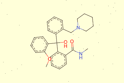 CNC(=O)c1ccccc1C(O)(c1ccccc1CN1CCCCC1)c1ccccc1OC